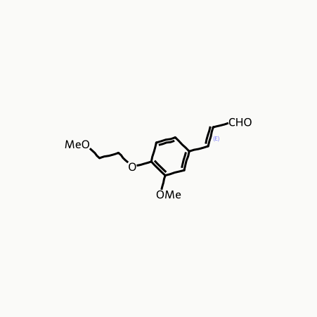 COCCOc1ccc(/C=C/C=O)cc1OC